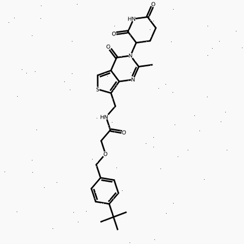 Cc1nc2c(CNC(=O)COCc3ccc(C(C)(C)C)cc3)scc2c(=O)n1C1CCC(=O)NC1=O